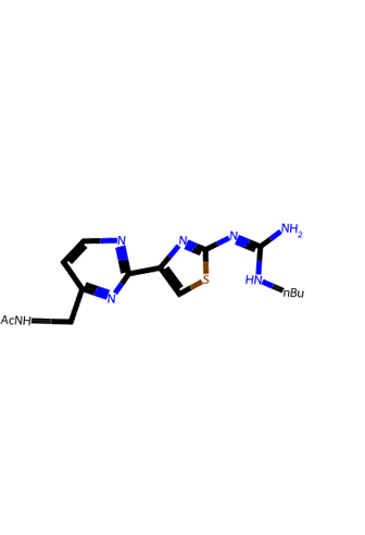 CCCCNC(N)=Nc1nc(-c2nccc(CNC(C)=O)n2)cs1